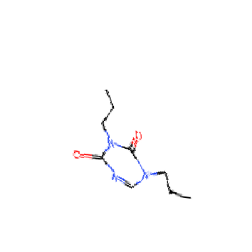 CCCn1cnc(=O)n(CCC)c1=O